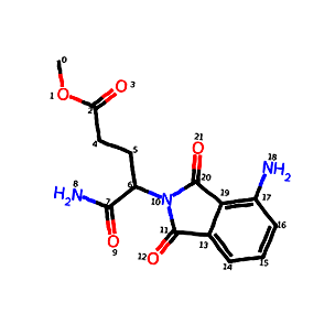 COC(=O)CCC(C(N)=O)N1C(=O)c2cccc(N)c2C1=O